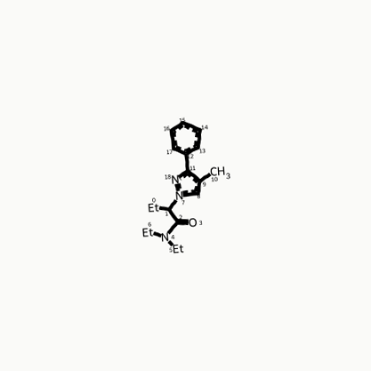 CCC(C(=O)N(CC)CC)n1cc(C)c(-c2ccccc2)n1